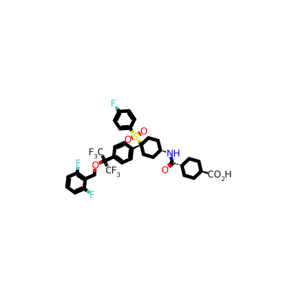 O=C(O)[C@H]1CC[C@H](C(=O)N[C@H]2CC[C@@](c3ccc(C(OCc4c(F)cccc4F)(C(F)(F)F)C(F)(F)F)cc3)(S(=O)(=O)c3ccc(F)cc3)CC2)CC1